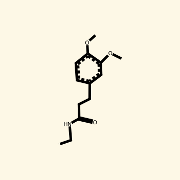 [CH2]CNC(=O)CCc1ccc(OC)c(OC)c1